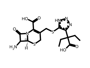 CCC(CC)(C(=O)O)c1nn[nH]c1SCC1=C(C(=O)O)N2C(=O)C(N)[C@@H]2SC1